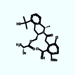 CNc1ccc(Cl)c(CC(=O)N2[C@@H](COC(=O)[C@@H](N)C(C)C)Cc3c(cccc3C(C)(C)O)[C@@H]2C)c1C(=N)Cl